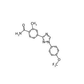 Cc1cc(-c2ncn(-c3ccc(OC(F)(F)F)cc3)n2)ccc1C(N)=O